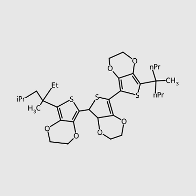 CCCC(C)(CCC)c1sc(C2=C3OCCOC3C(c3sc(C(C)(CC)CC(C)C)c4c3OCCO4)S2)c2c1OCCO2